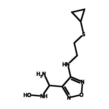 NC(NO)c1nonc1NCCSC1CC1